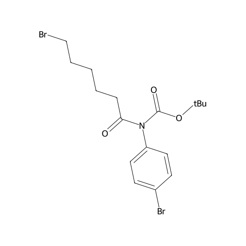 CC(C)(C)OC(=O)N(C(=O)CCCCCBr)c1ccc(Br)cc1